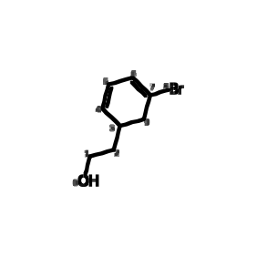 OCCC1C=CC=C(Br)C1